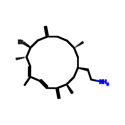 C=C1CC[C@H](C)C[C@@H](CCN)C[C@@H](C)C(=C)/C=C/C(C)=C/[C@H](C)[C@@H](CC)C1